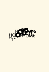 CO[C@@H]1C[C@H]2[C@@H](CC[C@@H]3C[C@](C)(O)CC[C@@H]32)[C@@H]2CC[C@H](C(=O)CBr)[C@@]12C